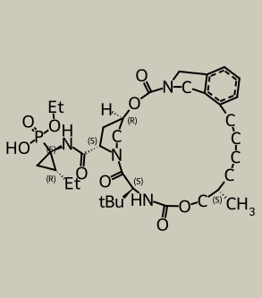 CCOP(=O)(O)[C@@]1(NC(=O)[C@@H]2C[C@@H]3CN2C(=O)[C@H](C(C)(C)C)NC(=O)OC[C@@H](C)CCCCc2cccc4c2CN(C4)C(=O)O3)C[C@H]1CC